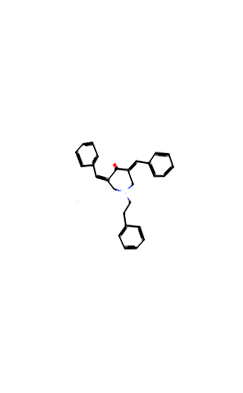 Cl.O=C1C(=Cc2ccccc2)CN(CCc2ccccc2)CC1=Cc1ccccc1